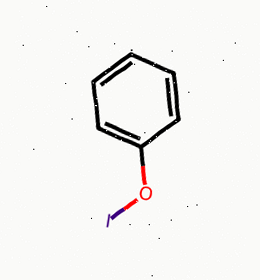 IOc1cc[c]cc1